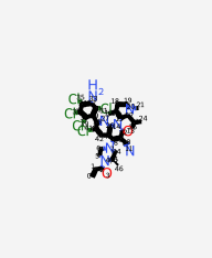 C=CC(=O)N1CCN(c2c(C#N)c(=O)n(C3=C(C)C=CN(C)C3C(C)C)c3nc(-c4c(Cl)c(N)c(Cl)c(Cl)c4Cl)c(Cl)cc23)C[C@H]1C